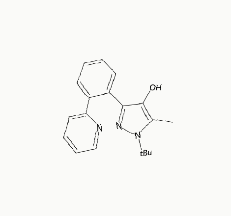 Cc1c(O)c(-c2ccccc2-c2ccccn2)nn1C(C)(C)C